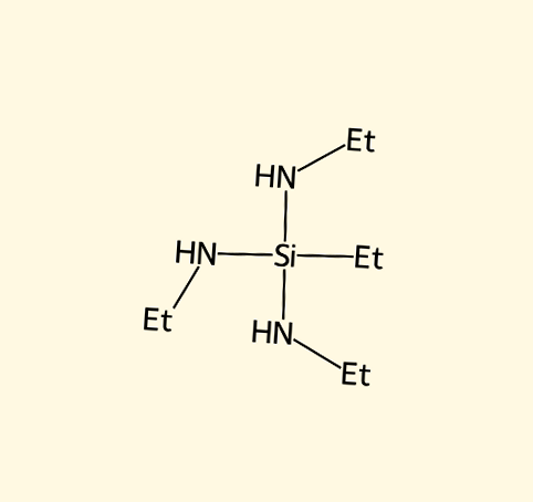 CCN[Si](CC)(NCC)NCC